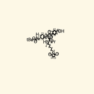 CC(C)[C@H](N[C@@H](C)CCCCCN1C(=O)C=CC1=O)C(=O)N[C@@H](C[C@H]1CC[C@H](CNC(=O)OC(C)(C)C)CC1)C(=O)Nc1ccc(CO)cc1